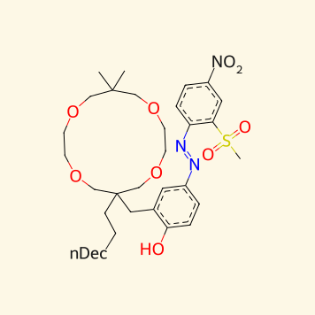 CCCCCCCCCCCCC1(Cc2cc(N=Nc3ccc([N+](=O)[O-])cc3S(C)(=O)=O)ccc2O)COCCOCC(C)(C)COCCOC1